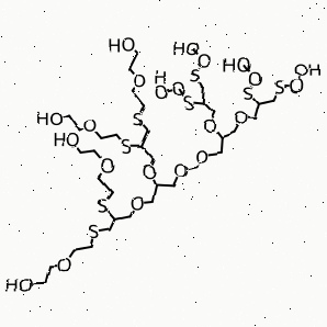 OCCOCCSCC(COCC(COCOCC(COCC(CSOO)SOO)OCC(CSOO)SOO)OCC(CSCCOCCO)SCCOCCO)SCCOCCO